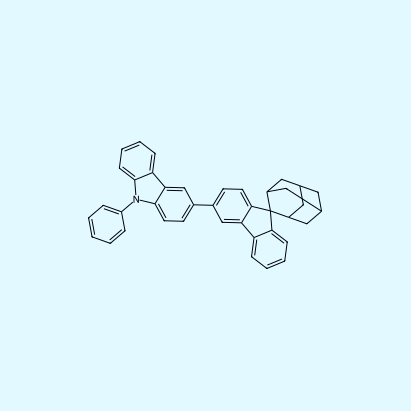 c1ccc(-n2c3ccccc3c3cc(-c4ccc5c(c4)-c4ccccc4C54C5CC6CC(C5)CC4C6)ccc32)cc1